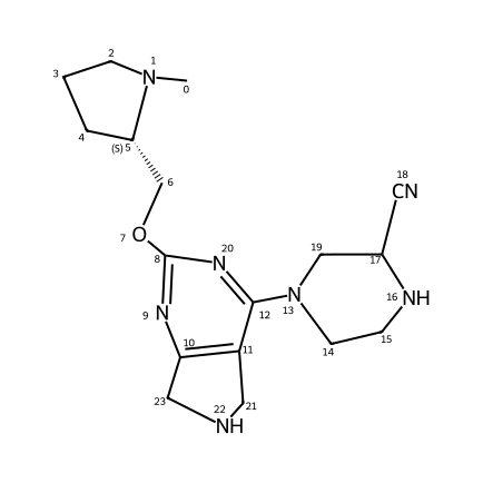 CN1CCC[C@H]1COc1nc2c(c(N3CCNC(C#N)C3)n1)CNC2